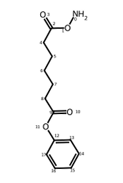 NOC(=O)CCCCCC(=O)Oc1ccccc1